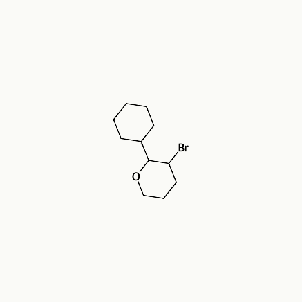 BrC1CCCOC1[C]1CCCCC1